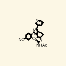 CC(=O)Nc1nc2c(s1)-c1c(c(-c3cccnc3)nn1-c1ccc(C#N)cc1Cl)CC2